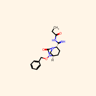 CCC(=O)NC(=N)[C@@H]1CC[C@@H]2CN1C(=O)N2OCc1ccccc1